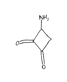 NC1CC(=O)C1=O